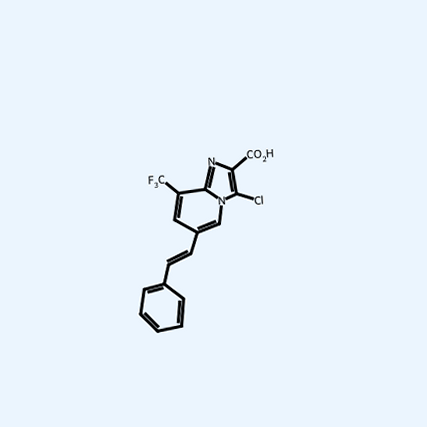 O=C(O)c1nc2c(C(F)(F)F)cc(C=Cc3ccccc3)cn2c1Cl